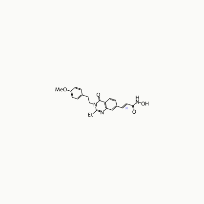 CCc1nc2cc(/C=C/C(=O)NO)ccc2c(=O)n1CCc1ccc(OC)cc1